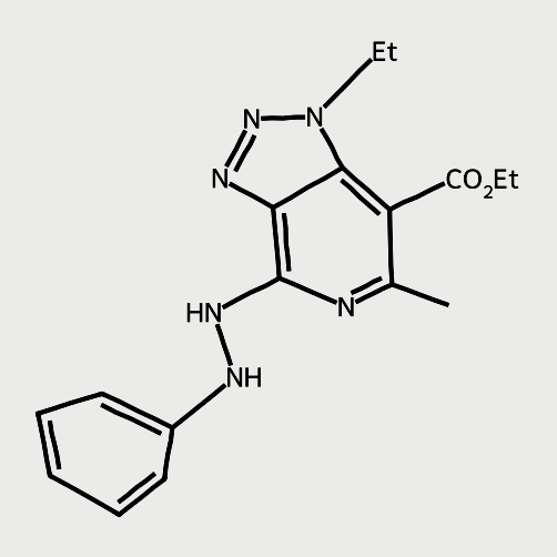 CCOC(=O)c1c(C)nc(NNc2ccccc2)c2nnn(CC)c12